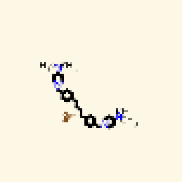 CN(C)c1cc[n+](Cc2ccc(CCCCc3ccc(C[n+]4ccc(N(C)C)cc4)cc3)cc2)cc1.[Br-].[Br-]